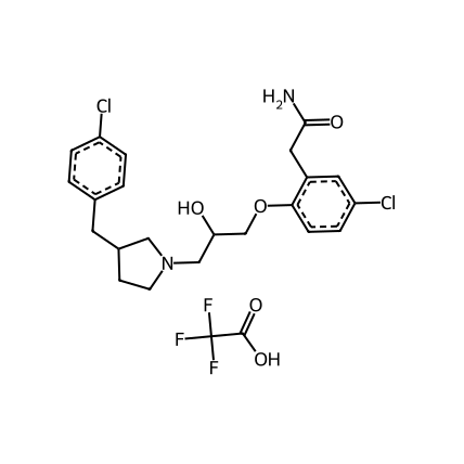 NC(=O)Cc1cc(Cl)ccc1OCC(O)CN1CCC(Cc2ccc(Cl)cc2)C1.O=C(O)C(F)(F)F